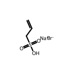 C=CCS(=O)(=O)O.[Br-].[Na+]